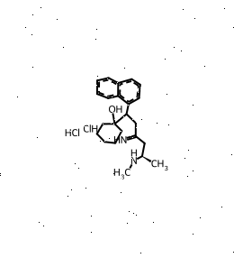 CN[C@H](C)CC(=N)CC(c1cccc2ccccc12)C1(O)CCCCC1.Cl.Cl